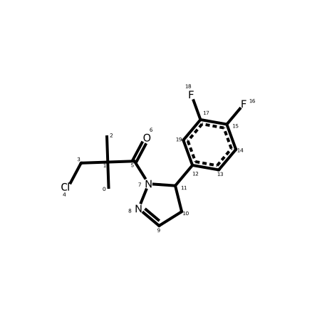 CC(C)(CCl)C(=O)N1N=CCC1c1ccc(F)c(F)c1